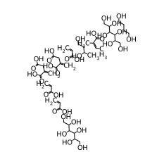 C=C(CC(=O)O)C(=O)O.C=C(CC(=O)O)C(=O)O.C=CC(=O)O.C=CC(=O)O.C=CC(=O)O.CC(O)CCO.CC=C(C)C(=O)O.OCC(O)C(O)C(O)C(O)CO.OCC(O)C(O)C(O)C(O)CO.OCCCCO